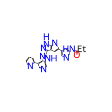 CCC(=O)Nc1cncc(-c2cnc3[nH]nc(-c4nc5c(-c6ccccn6)cncc5[nH]4)c3c2)c1